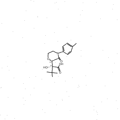 Cc1ccc(N2CCO[C@H]([C@@](O)(C(=O)O)C(C)(C)C)C2=O)cc1